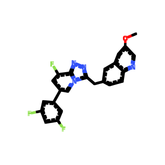 COc1cnc2ccc(Cc3nnc4c(F)cc(-c5cc(F)cc(F)c5)cn34)cc2c1